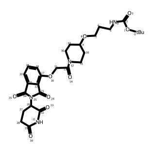 CC(C)(C)OC(=O)NCCCOC1CCN(C(=O)COc2cccc3c2C(=O)N(C2CCC(=O)NC2=O)C3=O)CC1